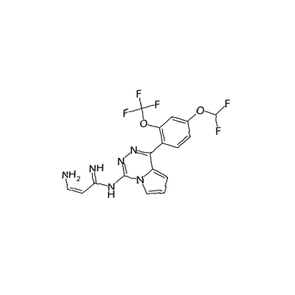 N=C(/C=C\N)Nc1nnc(-c2ccc(OC(F)F)cc2OC(F)(F)F)c2cccn12